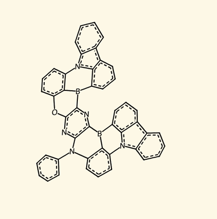 c1ccc(N2c3cccc4c3B(c3nc5c(nc32)Oc2cccc3c2B5c2cccc5c6ccccc6n-3c25)c2cccc3c5ccccc5n-4c23)cc1